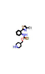 CCc1csc(-c2ccccc2NC(=O)OCC2CCNCC2)n1.Cl